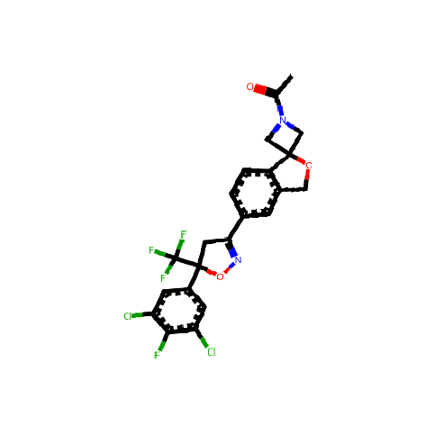 CC(=O)N1CC2(C1)OCc1cc(C3=NOC(c4cc(Cl)c(F)c(Cl)c4)(C(F)(F)F)C3)ccc12